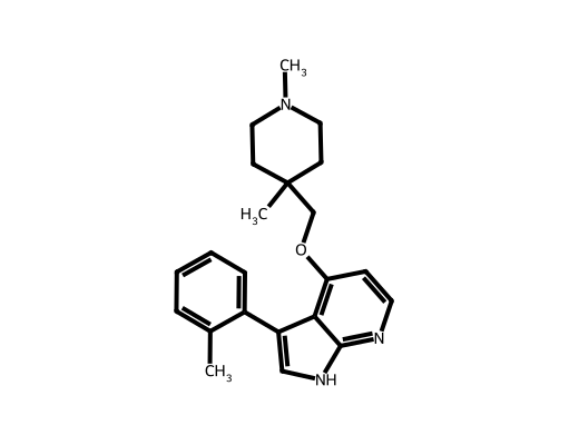 Cc1ccccc1-c1c[nH]c2nccc(OCC3(C)CCN(C)CC3)c12